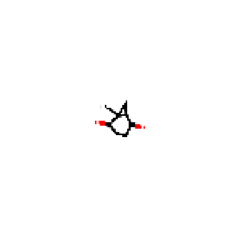 O=C1CCC(=O)C2(C(F)(F)F)CC12